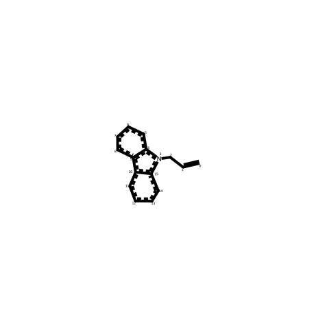 C=CCn1c2[c]cccc2c2ccccc21